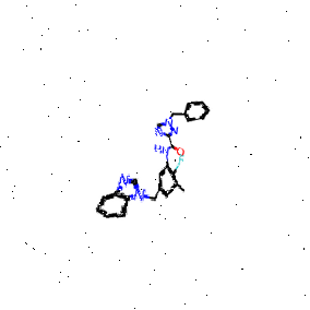 Cc1cc(Cn2cnc3ccccc32)cc(NC(=O)c2ncn(Cc3ccccc3)n2)c1F